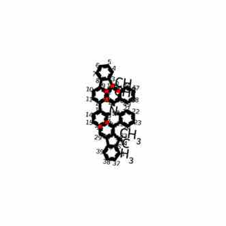 CC1(C)c2ccccc2-c2ccc(-c3ccccc3N(c3ccccc3-c3cccc4c3C(C)(C)c3ccccc3-4)c3cccc4ccccc34)cc21